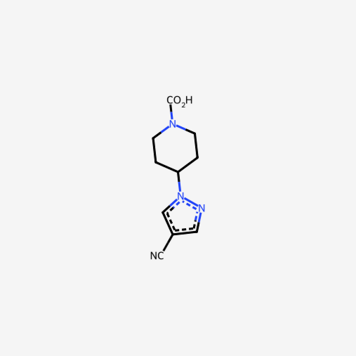 N#Cc1cnn(C2CCN(C(=O)O)CC2)c1